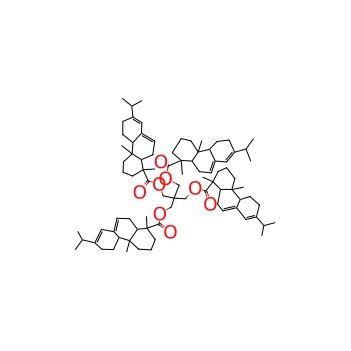 CC(C)C1=CC2=CCC3C(C)(C(=O)OCC(COC(=O)C4(C)CCCC5(C)C6CCC(C(C)C)=CC6=CCC45)(COC(=O)C4(C)CCCC5(C)C6CCC(C(C)C)=CC6=CCC45)COC(=O)C4(C)CCCC5(C)C6CCC(C(C)C)=CC6=CCC45)CCCC3(C)C2CC1